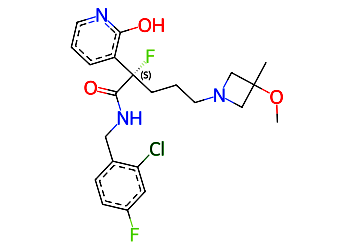 COC1(C)CN(CCC[C@@](F)(C(=O)NCc2ccc(F)cc2Cl)c2cccnc2O)C1